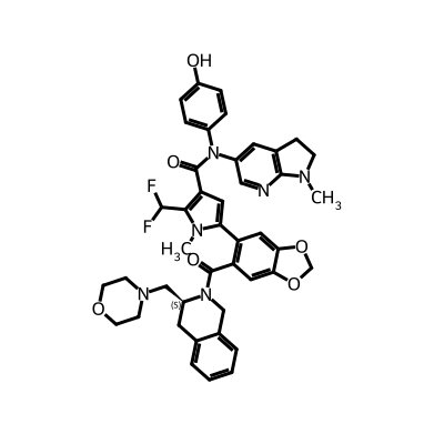 CN1CCc2cc(N(C(=O)c3cc(-c4cc5c(cc4C(=O)N4Cc6ccccc6C[C@H]4CN4CCOCC4)OCO5)n(C)c3C(F)F)c3ccc(O)cc3)cnc21